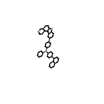 c1ccc(N(c2ccc(-c3ccc4sc5ccc6cnccc6c5c4c3)cc2)c2ccc(-c3cccc4ccccc34)cc2)cc1